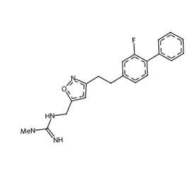 CNC(=N)NCc1cc(CCc2ccc(-c3ccccc3)c(F)c2)no1